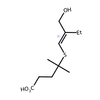 CC/C(=C\SC(C)(C)CCC(=O)O)CO